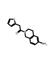 Nc1ccc2c(c1)CCN(C(=O)Cc1cccs1)C2